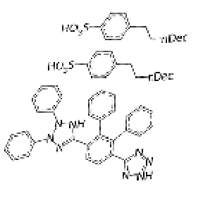 CCCCCCCCCCCCc1ccc(S(=O)(=O)O)cc1.CCCCCCCCCCCCc1ccc(S(=O)(=O)O)cc1.c1ccc(-c2c(C3=NN(c4ccccc4)N(c4ccccc4)N3)ccc(-c3nn[nH]n3)c2-c2ccccc2)cc1